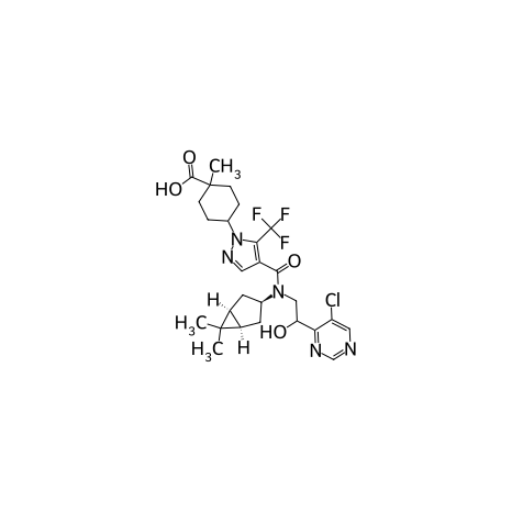 CC1(C(=O)O)CCC(n2ncc(C(=O)N(CC(O)c3ncncc3Cl)[C@H]3C[C@@H]4[C@H](C3)C4(C)C)c2C(F)(F)F)CC1